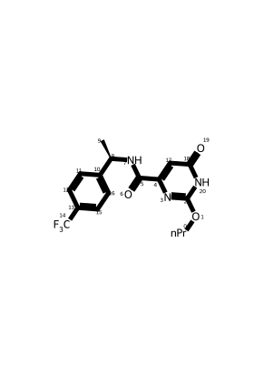 CCCOc1nc(C(=O)N[C@H](C)c2ccc(C(F)(F)F)cc2)cc(=O)[nH]1